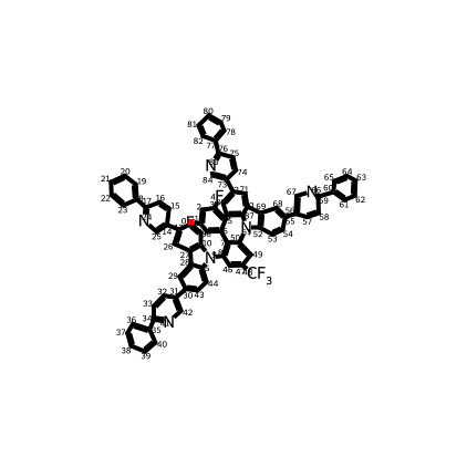 Fc1cc(F)cc(-c2c(-n3c4ccc(-c5ccc(-c6ccccc6)nc5)cc4c4cc(-c5ccc(-c6ccccc6)nc5)ccc43)cc(C(F)(F)F)cc2-n2c3ccc(-c4ccc(-c5ccccc5)nc4)cc3c3cc(-c4ccc(-c5ccccc5)nc4)ccc32)c1